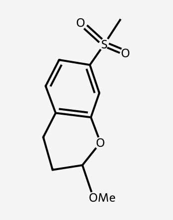 COC1CCc2ccc(S(C)(=O)=O)cc2O1